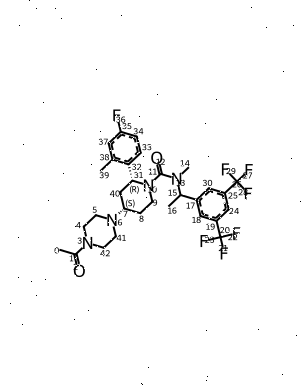 CC(=O)N1CCN([C@H]2CCN(C(=O)N(C)C(C)c3cc(C(F)(F)F)cc(C(F)(F)F)c3)[C@@H](c3ccc(F)cc3C)C2)CC1